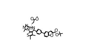 COC(=O)CC[C@@H]1N=C(c2ccc(-c3ccc4oc(C(=O)OC(C)(C)C)cc4c3)cc2)c2c(sc(C)c2C)-n2c(C)nnc21